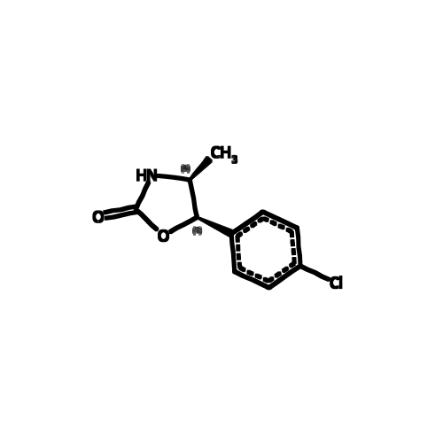 C[C@@H]1NC(=O)O[C@@H]1c1ccc(Cl)cc1